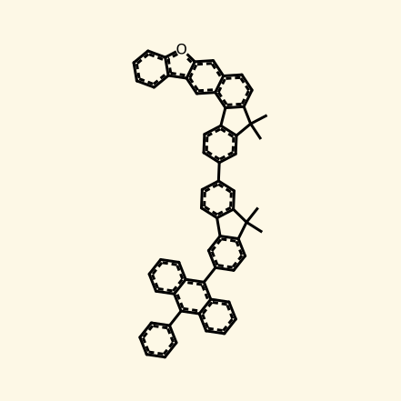 CC1(C)c2ccc(-c3c4ccccc4c(-c4ccccc4)c4ccccc34)cc2-c2ccc(-c3ccc4c(c3)C(C)(C)c3ccc5cc6oc7ccccc7c6cc5c3-4)cc21